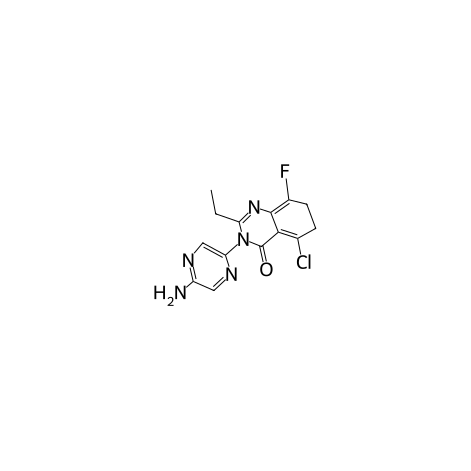 CCc1nc2c(c(=O)n1-c1cnc(N)cn1)=C(Cl)CCC=2F